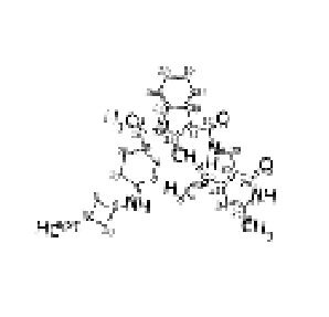 C#CC1CC(NC2CCC([C@@H](C)n3c(C)c(C(=O)NCc4c(SC)cc(C)[nH]c4=O)c4ccccc43)CC2)C1